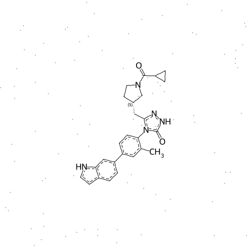 Cc1cc(-c2ccc3cc[nH]c3c2)ccc1-n1c(C[C@@H]2CCN(C(=O)C3CC3)C2)n[nH]c1=O